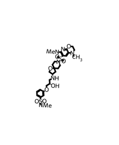 CNc1nc2c(cc1S(=O)(=O)N1CCC3(CC1)C[C@@H](NC[C@H](O)COc1cccc(S(=O)(=O)NC)c1)CO3)N(C)CCO2